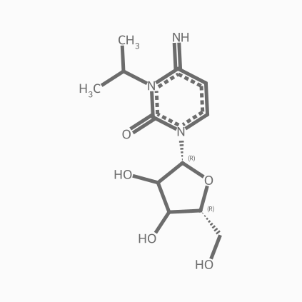 CC(C)n1c(=N)ccn([C@@H]2O[C@H](CO)C(O)C2O)c1=O